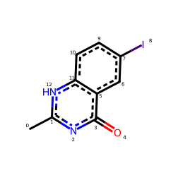 Cc1nc(=O)c2cc(I)ccc2[nH]1